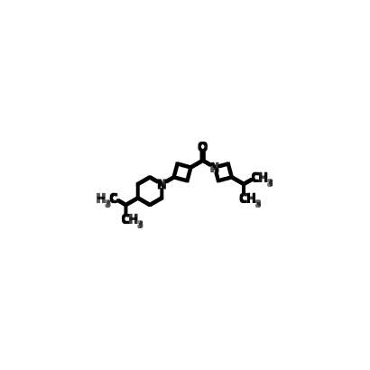 CC(C)C1CCN(C2CC(C(=O)N3CC(C(C)C)C3)C2)CC1